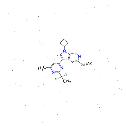 CC(=O)Nc1cc2c(-c3cc(C)nc(C(C)(F)F)n3)cn(C3CCC3)c2cn1